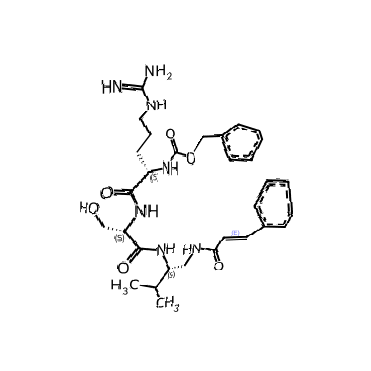 CC(C)[C@@H](CNC(=O)/C=C/c1ccccc1)NC(=O)[C@H](CO)NC(=O)[C@H](CCCNC(=N)N)NC(=O)OCc1ccccc1